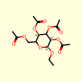 CCO[C@H]1OC(COC(C)=O)[C@@H](OC(C)=O)C(OC(C)=O)[C@H]1OC(C)=O